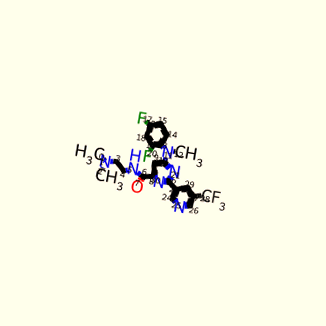 CN(C)CCNC(=O)c1cc(N(C)c2ccc(F)cc2F)nc(-c2cncc(C(F)(F)F)c2)n1